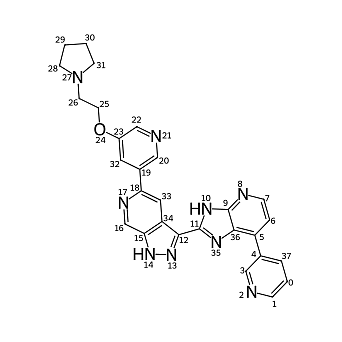 c1cncc(-c2ccnc3[nH]c(-c4n[nH]c5cnc(-c6cncc(OCCN7CCCC7)c6)cc45)nc23)c1